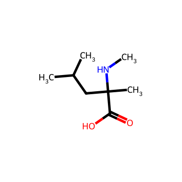 CNC(C)(CC(C)C)C(=O)O